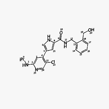 CC(C)Nc1cc(-c2c[nH]c(C(=O)NCc3ccccc3CO)c2)c(Cl)cn1